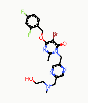 Cc1nc(OCc2ccc(F)cc2F)c(Br)c(=O)n1Cc1cnc(CN(C)CCO)cn1